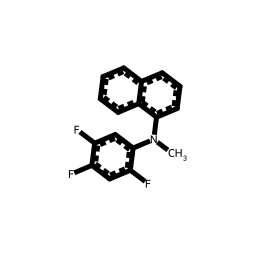 CN(c1cc(F)c(F)cc1F)c1cccc2ccccc12